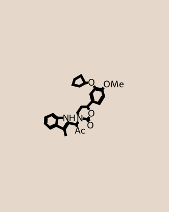 COc1ccc(C2CCN(C(C(C)=O)c3[nH]c4ccccc4c3C)C(=O)O2)cc1OC1CCCC1